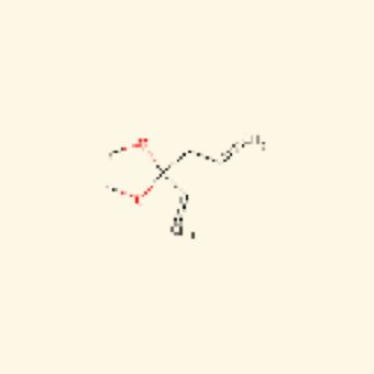 C=CCC1(C=C)OCCO1